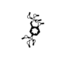 COc1ccc([Si](OC)(OC)OC)cc1C[Si](OC)(OC)OC